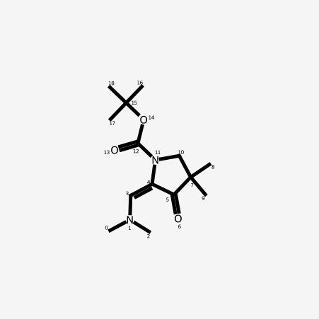 CN(C)C=C1C(=O)C(C)(C)CN1C(=O)OC(C)(C)C